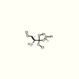 CCC[SiH2]OC(OCC)(OCC)/C(C)=C/OCC